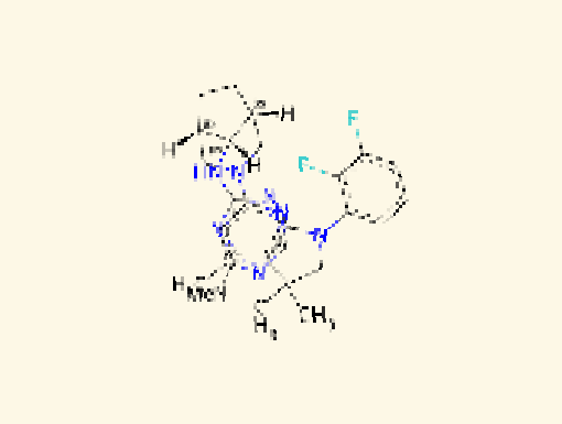 CNc1nc(N[C@H]2[C@@H]3CC[C@H]2CN(c2cc(C)ncn2)C3)nc2c1C(C)(C)CN2c1cccc(F)c1F